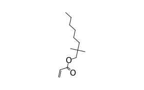 C=CC(=O)OCC(C)(C)CCCCCC